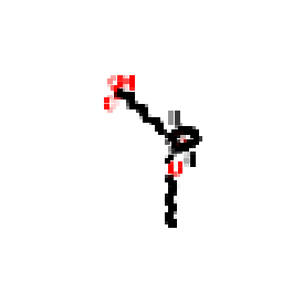 C=CCCCCOC[C@H]1[C@@H](CCCCCCC(=O)O)[C@H]2CC[C@@H]1O2